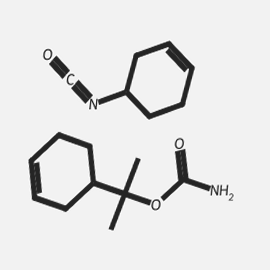 CC(C)(OC(N)=O)C1CC=CCC1.O=C=NC1CC=CCC1